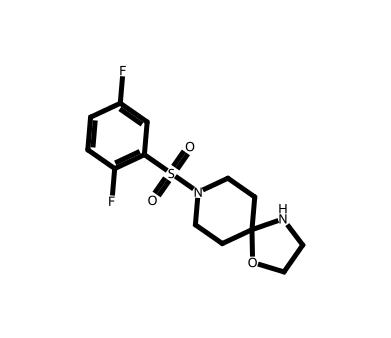 O=S(=O)(c1cc(F)ccc1F)N1CCC2(CC1)NCCO2